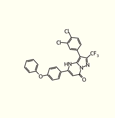 O=c1cc(-c2ccc(Oc3ccccc3)cc2)[nH]c2c(-c3ccc(Cl)c(Cl)c3)c(C(F)(F)F)nn12